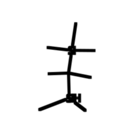 C[SiH](C)C(C)(C)[Si](C)(C)C